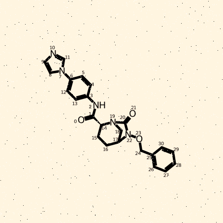 O=C(Nc1ccc(-n2ccnc2)cc1)[C@@H]1CCC2CN1C(=O)N2OCc1ccccc1